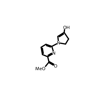 COC(=O)c1cccc(N2C=C(O)CC2)n1